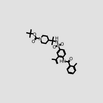 C=C(C)c1cc(S(=O)(=O)NC(C)(C)C2CCN(C(=O)OC(C)(C)C)CC2)ccc1NC(=O)c1ccccc1C